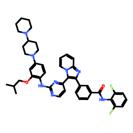 CC(C)COc1cc(N2CCC(N3CCCCC3)CC2)ccc1Nc1nccc(-c2c(-c3cccc(C(=O)Nc4c(F)cccc4F)c3)nc3ccccn23)n1